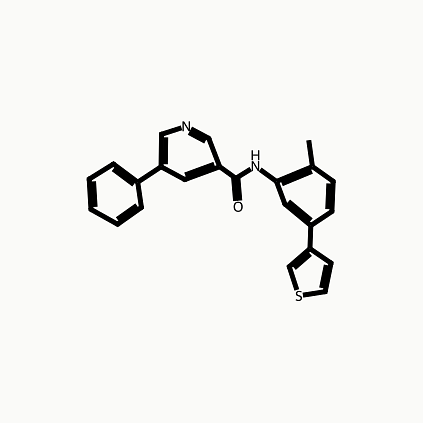 Cc1ccc(-c2ccsc2)cc1NC(=O)c1cncc(-c2ccccc2)c1